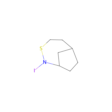 IN1SCCC2CCC1C2